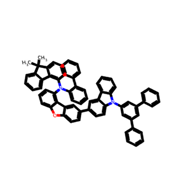 CC1(C)c2ccccc2-c2c(N(c3ccccc3-c3ccccc3)c3cccc4oc5ccc(-c6ccc7c(c6)c6ccccc6n7-c6cc(-c7ccccc7)cc(-c7ccccc7)c6)cc5c34)cccc21